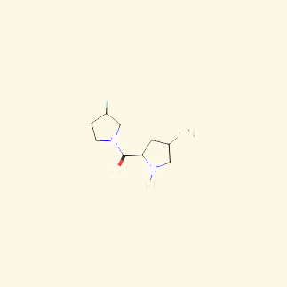 BN1CC(C#N)CC1C(=O)N1CCC(F)C1